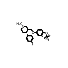 [2H]C1([2H])Oc2ccc(OCC3CN(C)CC[C@H]3c3ccc(F)cc3)cc2O1